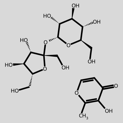 Cc1occc(=O)c1O.OC[C@H]1O[C@@](CO)(O[C@H]2O[C@H](CO)[C@@H](O)[C@H](O)[C@H]2O)[C@@H](O)[C@@H]1O